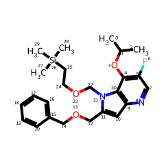 CC(C)Oc1c(F)cnc2cc(COCc3ccccc3)n(COCC[Si](C)(C)C)c12